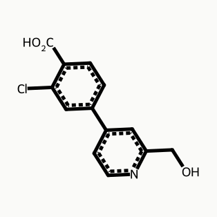 O=C(O)c1ccc(-c2ccnc(CO)c2)cc1Cl